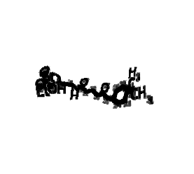 CCOP(=O)(O)OCCNC(=O)CCCC(=O)CC1CCC(C)(C)CC1